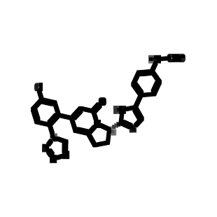 O=CNc1ccc(-c2cnc([C@@H]3CCc4cc(-c5cc(Cl)ccc5-n5cnnn5)cc(=O)n43)[nH]2)cc1